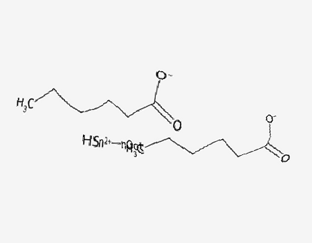 CCCCCC(=O)[O-].CCCCCC(=O)[O-].CCCCCCC[CH2][SnH+2]